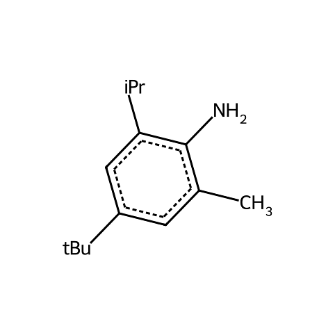 Cc1cc(C(C)(C)C)cc(C(C)C)c1N